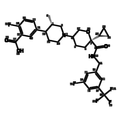 C[C@@H]1CN(C2CC[C@@](C(=O)NCc3cc(F)cc(C(F)(F)F)c3)(C3CC3)OC2)CCC1c1ccc(F)c(C(=O)O)c1